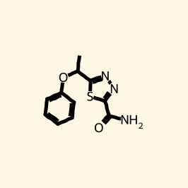 CC(Oc1ccccc1)c1nnc(C(N)=O)s1